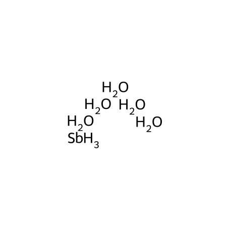 O.O.O.O.O.[SbH3]